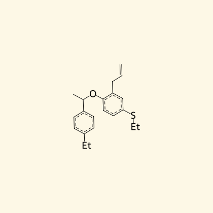 C=CCc1cc(SCC)ccc1OC(C)c1ccc(CC)cc1